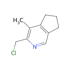 Cc1c(CCl)ncc2c1CCC2